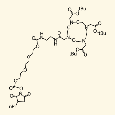 CCCC1CC(=O)N(OC(=O)OCCOCCOCCOC(=O)NCCNC(=O)CN2CCN(CC(=O)OC(C)(C)C)CCN(CC(=O)OC(C)(C)C)CCN(CC(=O)OC(C)(C)C)CC2)C1=O